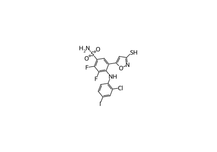 NS(=O)(=O)c1cc(-c2cc(S)no2)c(Nc2ccc(I)cc2Cl)c(F)c1F